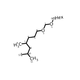 CCCCCCOCOCCCC(C)CC(C)I